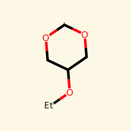 CCOC1CO[CH]OC1